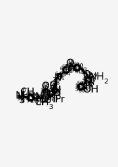 Cc1ncsc1-c1ccc([C@H](C)NC(=O)[C@@H]2C[C@@H](O)CN2C(=O)[C@@H](c2cc(OCCN3CC(C4CCN(C(=O)c5ccc(CCOc6cc(-c7ccccc7O)nnc6N)cc5)CC4)C3)no2)C(C)C)cc1